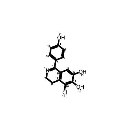 Oc1ccc(C2=NCCc3c2cc(O)c(O)c3Cl)cc1